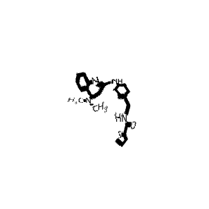 CN(C)c1cc(NC2CCC(CNC(=O)c3cccs3)CC2)nc2ccccc12